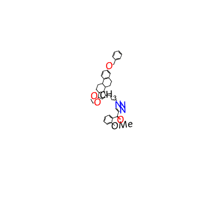 COc1ccccc1C(=O)c1cn(CCCC2CC3(OCCO3)C3(C)CCC4c5ccc(OCc6ccccc6)cc5CCC4C23)nn1